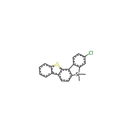 C[Si]1(C)c2cc(Cl)ccc2-c2c1ccc1c2sc2ccccc21